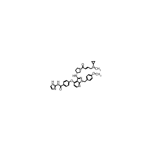 COc1ccc(Cn2nc(N[C@@H]3CCN(C(=O)/C=C/CN(C)C4CC4)C3)c3c(Oc4ccc(C(=O)Nc5ncc[nH]5)cc4)ccnc32)cc1